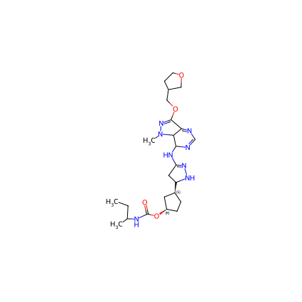 CCC(C)NC(=O)O[C@@H]1CC[C@H](C2CC(NC3N=CN=C4C(OCC5CCOC5)=NN(C)C43)=NN2)C1